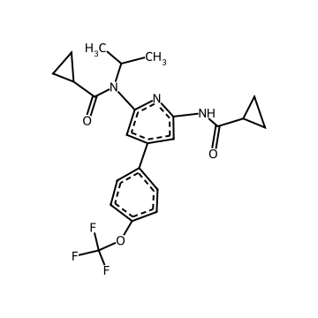 CC(C)N(C(=O)C1CC1)c1cc(-c2ccc(OC(F)(F)F)cc2)cc(NC(=O)C2CC2)n1